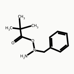 CC(C)(C)C(=O)ON(N)Cc1ccccc1